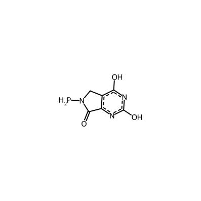 O=C1c2nc(O)nc(O)c2CN1P